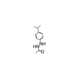 CC(=O)NNc1ccc(C(C)C)cc1